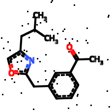 C[C](C)Cc1coc(Cc2cccc(C(C)=O)c2)n1